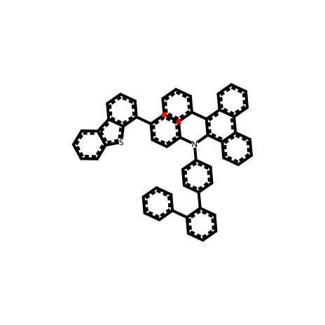 c1ccc(-c2ccccc2-c2ccc(N(c3ccc(-c4cccc5c4sc4ccccc45)cc3)c3c(-c4ccccc4)c4ccccc4c4ccccc34)cc2)cc1